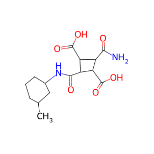 CC1CCCC(NC(=O)C2C(C(=O)O)C(C(N)=O)C2C(=O)O)C1